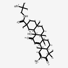 CCCC(C)(C)CNC(=O)C1(C)CCC2(C)CCC3(C)C4(C)CCC5C(C)(C)C(=O)C(C#N)=CC5(C)C4=CC(=O)C3(O)C2C1